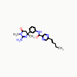 CCC/C=C/c1cnc(C(=O)Nc2cccc(C3(C)CC(=O)N(C)C(N)=N3)c2)cn1